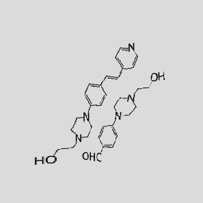 O=Cc1ccc(N2CCN(CCO)CC2)cc1.OCCN1CCN(c2ccc(C=Cc3ccncc3)cc2)CC1